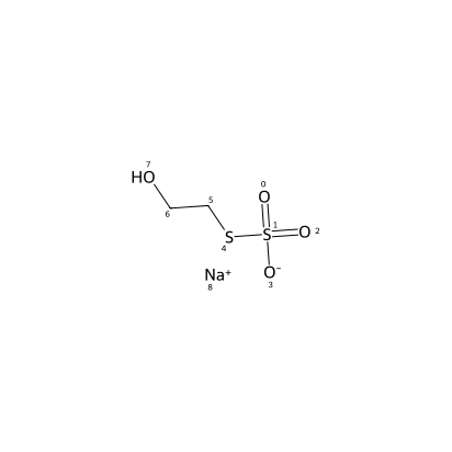 O=S(=O)([O-])SCCO.[Na+]